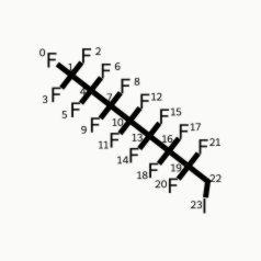 FC(F)(F)C(F)(F)C(F)(F)C(F)(F)C(F)(F)C(F)(F)C(F)(F)CI